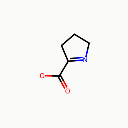 [O]C(=O)C1=NCCC1